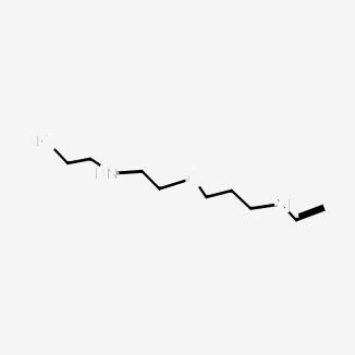 C=CNCCCOCCNCCO